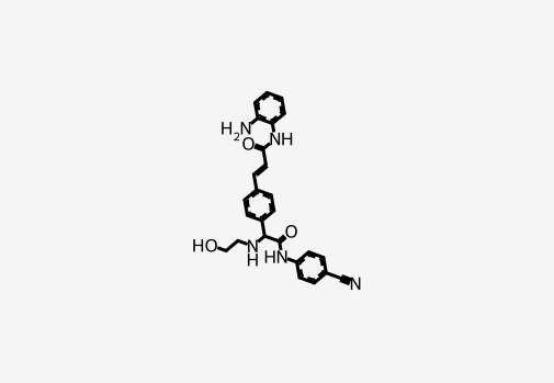 N#Cc1ccc(NC(=O)C(NCCO)c2ccc(C=CC(=O)Nc3ccccc3N)cc2)cc1